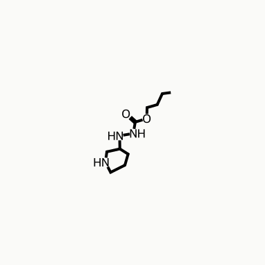 CCCCOC(=O)NNC1CCCNC1